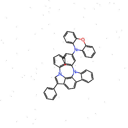 c1ccc(-c2cn(-c3ccccc3)c3c2ccc2c4ccccc4n(-c4cccc(N5c6ccccc6Oc6ccccc65)c4)c23)cc1